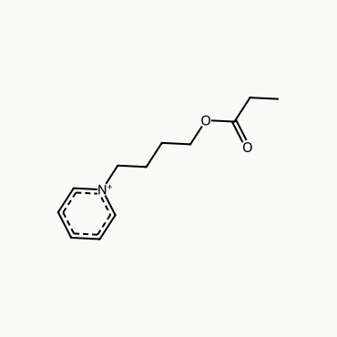 CCC(=O)OCCCC[n+]1ccccc1